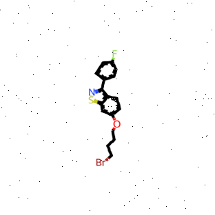 Fc1ccc(-c2nsc3cc(OCCCCBr)ccc23)cc1